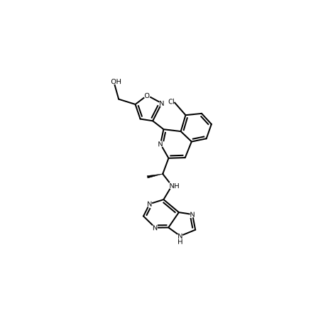 C[C@H](Nc1ncnc2[nH]cnc12)c1cc2cccc(Cl)c2c(-c2cc(CO)on2)n1